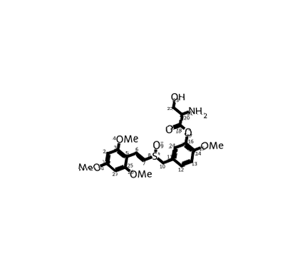 COc1cc(OC)c(C=C[S+]([O-])Cc2ccc(OC)c(OC(=O)C(N)CO)c2)c(OC)c1